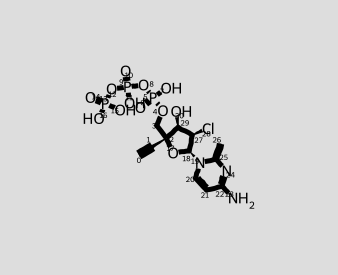 C#C[C@]1(COP(=O)(O)OP(=O)(O)OP(=O)(O)O)O[C@@H](N2C=CC(N)=NC2=C)[C@H](Cl)[C@@H]1O